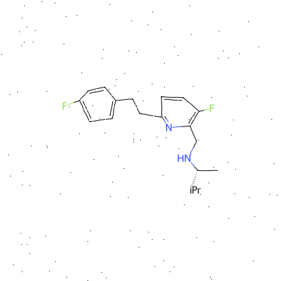 CC(C)[C@@H](C)NCc1nc(CCc2ccc(F)cc2)ccc1F